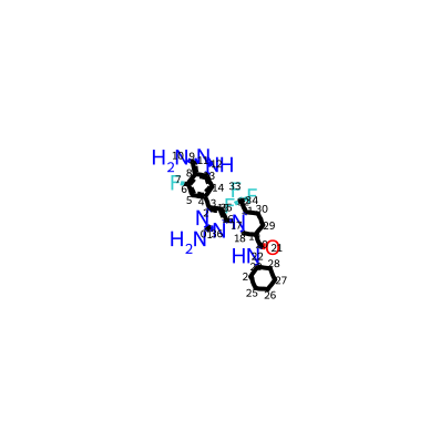 Nc1nc(-c2cc(F)c3c(N)n[nH]c3c2)cc(N2CC(C(=O)NC3CCCCC3)CCC2C(F)(F)F)n1